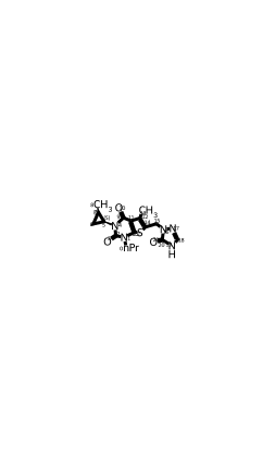 CCCn1c(=O)n([C@H]2C[C@@H]2C)c(=O)c2c(C)c(Cn3nc[nH]c3=O)sc21